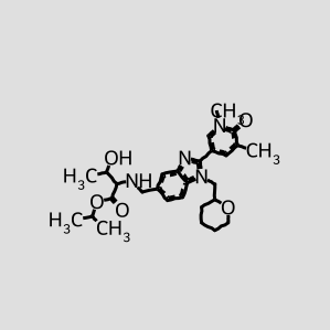 Cc1cc(-c2nc3cc(CNC(C(=O)OC(C)C)C(C)O)ccc3n2CC2CCCCO2)cn(C)c1=O